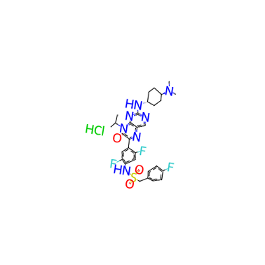 CC(C)n1c(=O)c(-c2cc(F)c(NS(=O)(=O)Cc3ccc(F)cc3)cc2F)nc2cnc(N[C@H]3CC[C@H](N(C)C)CC3)nc21.Cl